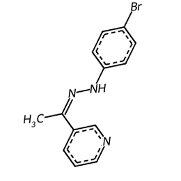 C/C(=N/Nc1ccc(Br)cc1)c1cccnc1